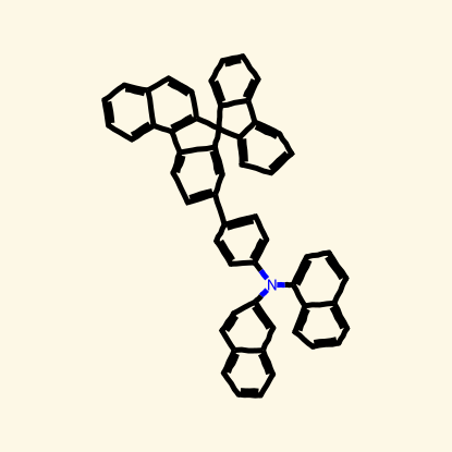 c1ccc2c(c1)-c1ccccc1C21c2cc(-c3ccc(N(c4ccc5ccccc5c4)c4cccc5ccccc45)cc3)ccc2-c2c1ccc1ccccc21